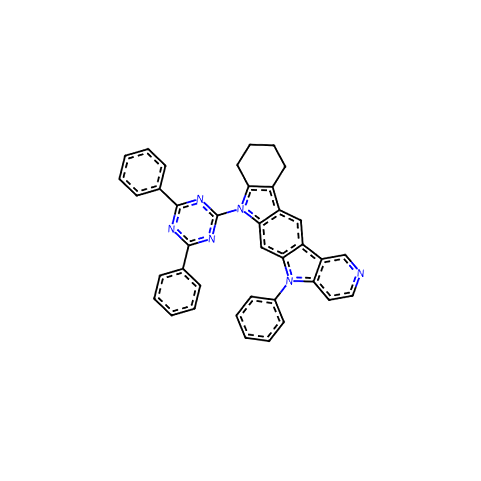 c1ccc(-c2nc(-c3ccccc3)nc(-n3c4c(c5cc6c7cnccc7n(-c7ccccc7)c6cc53)CCCC4)n2)cc1